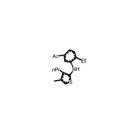 CCCc1c(C)csc1Nc1cc(C(C)=O)ccc1CC